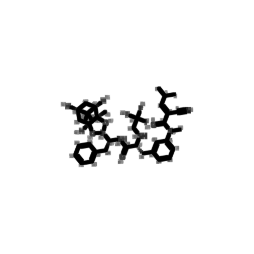 CC(C)C=C(C#N)C(=O)N(C)c1cccc(C[C@@H](NCC(F)(F)F)C(=O)N[C@@H](Cc2ccccc2)B2O[C@@H]3C[C@@H]4C[C@@H](C4(C)C)[C@]3(C)O2)c1